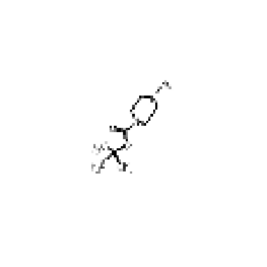 BC(OC(=O)N1CCN(C(C)(C)C)CC1)(C(F)(F)F)C(F)(F)F